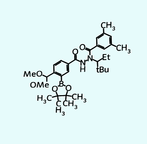 CCC(N(NC(=O)c1ccc(C(OC)OC)c(B2OC(C)(C)C(C)(C)O2)c1)C(=O)c1cc(C)cc(C)c1)C(C)(C)C